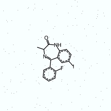 CC1N=C(c2ccccc2F)c2cc(I)ccc2NC1=O